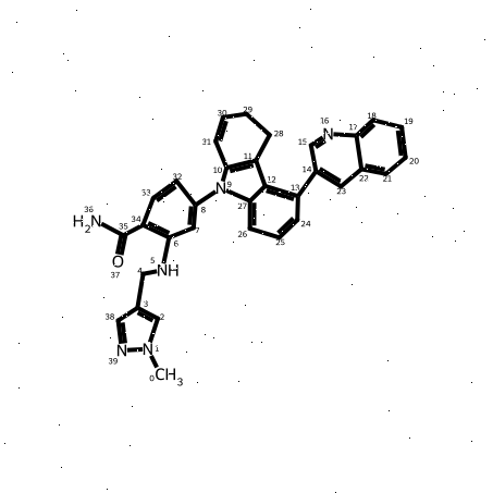 Cn1cc(CNc2cc(-n3c4c(c5c(-c6cnc7ccccc7c6)cccc53)CCC=C4)ccc2C(N)=O)cn1